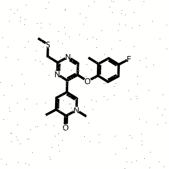 CSCc1ncc(Oc2ccc(F)cc2C)c(-c2cc(C)c(=O)n(C)c2)n1